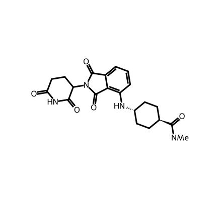 CNC(=O)[C@H]1CC[C@H](Nc2cccc3c2C(=O)N(C2CCC(=O)NC2=O)C3=O)CC1